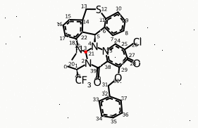 C[C@@H](N1CN([C@@H]2c3ccccc3SCc3cccc(N(C)C)c32)n2cc(Cl)c(=O)c(OCc3ccccc3)c2C1=O)C(F)(F)F